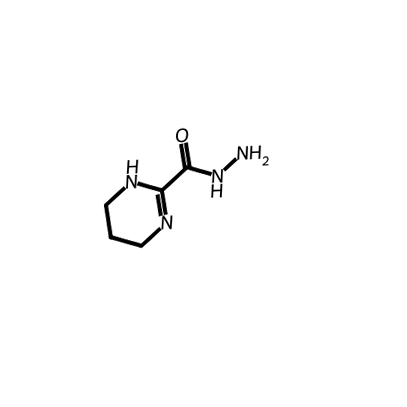 NNC(=O)C1=NCCCN1